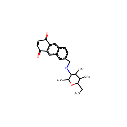 CC(=O)OCC1OC(OC(C)=O)C(NCc2ccc3cc4c(cc3c2)C(=O)C=CC4=O)C(OC(C)=O)C1OC(C)=O